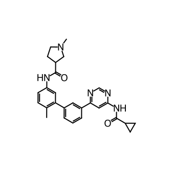 Cc1ccc(NC(=O)C2CCN(C)C2)cc1-c1cccc(-c2cc(NC(=O)C3CC3)ncn2)c1